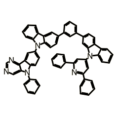 c1ccc(-c2cc(-n3c4ccccc4c4ccc(-c5cccc(-c6ccc7c(c6)c6ccccc6n7-c6ccc7c(c6)c6ncncc6n7-c6ccccc6)c5)cc43)cc(-c3ccccc3)n2)cc1